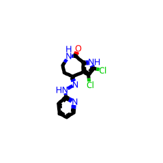 O=C1NCC/C(=N\Nc2ccccn2)c2c1[nH]c(Cl)c2Cl